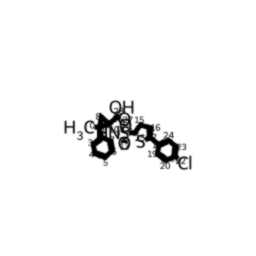 CC1(c2ccccc2)CC1(NS(=O)(=O)C1CC=C(c2ccc(Cl)cc2)S1)C(=O)O